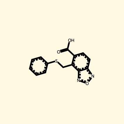 O=C(O)c1ccc2nonc2c1CSc1ccccc1